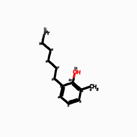 Cc1cccc(CCCCCC(C)C)c1O